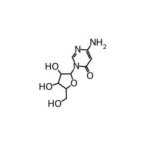 Nc1cc(=O)n(C2OC(CO)C(O)C2O)cn1